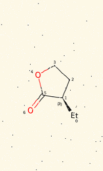 CC[C@@H]1CCOC1=O